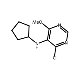 COc1ncnc(Cl)c1NC1CCCC1